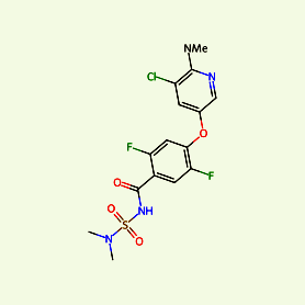 CNc1ncc(Oc2cc(F)c(C(=O)NS(=O)(=O)N(C)C)cc2F)cc1Cl